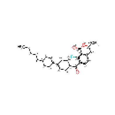 CCCCCC1CCC(C2CCC(C(=O)c3ccc4c(c3F)C(=O)OC(C)C4)CC2)CC1